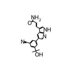 CC(C)(O)c1cc(C#N)cc(-c2cnc3[nH]cc(C=CC(N)=O)c3c2)c1